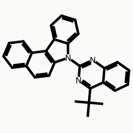 CC(C)(C)c1nc(-n2c3ccccc3c3c4ccccc4ccc32)nc2ccccc12